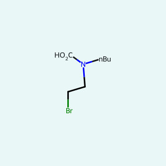 CCCCN(CCBr)C(=O)O